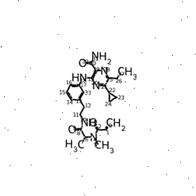 C=CC(=O)N(C)C(C)C(=O)NCCc1cccc(Nc2nc(C3CC3)c(CC)nc2C(N)=O)c1